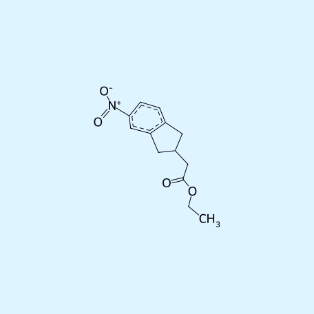 CCOC(=O)CC1Cc2ccc([N+](=O)[O-])cc2C1